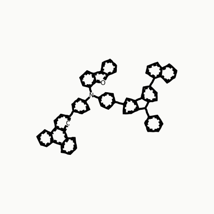 c1ccc(C2c3ccc(-c4ccc(N(c5ccc(-c6ccc7c8ccccc8c8ccccc8c7c6)cc5)c5cccc6c5oc5ccccc56)cc4)cc3-c3cc(-c4cccc5ccccc45)ccc32)cc1